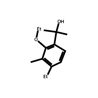 CCOc1c(C(C)(C)O)ccc(CC)c1C